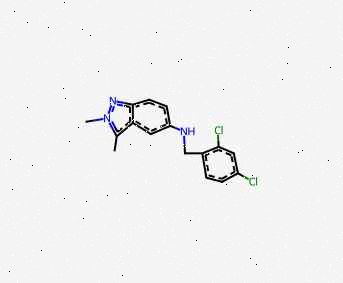 Cc1c2cc(NCc3ccc(Cl)cc3Cl)ccc2nn1C